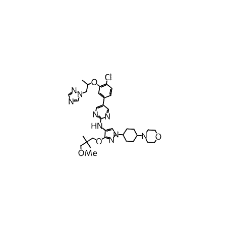 COCC(C)(C)COc1nn(C2CCC(N3CCOCC3)CC2)cc1Nc1ncc(-c2ccc(Cl)c(OC(C)Cn3cncn3)c2)cn1